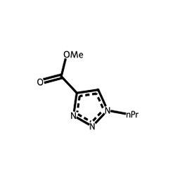 CCCn1cc(C(=O)OC)nn1